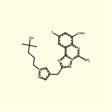 COc1cc(F)cc2c1nc(N)n1nc(Cc3cnn(CCCC(C)(C)O)c3)nc21